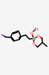 CCO[Si]1(CCc2ccc(CI)cc2)OCC(C)CO1